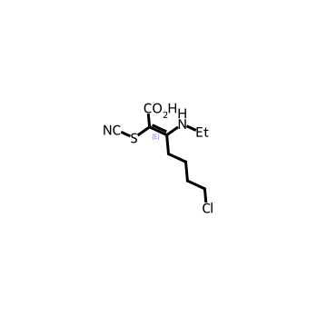 CCN/C(CCCCCl)=C(/SC#N)C(=O)O